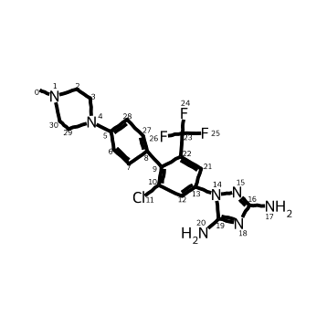 CN1CCN(c2ccc(-c3c(Cl)cc(-n4nc(N)nc4N)cc3C(F)(F)F)cc2)CC1